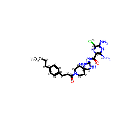 Nc1nc(N)c(C(=O)/N=C2\NCC3(CCN(C(=O)CCc4ccc(CCC(=O)O)cc4)CC3)N2)nc1Cl